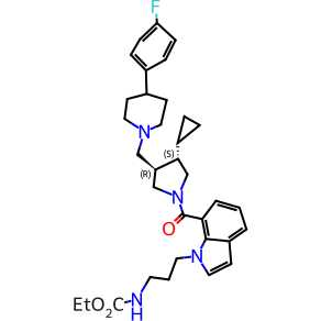 CCOC(=O)NCCCn1ccc2cccc(C(=O)N3C[C@@H](CN4CCC(c5ccc(F)cc5)CC4)[C@H](C4CC4)C3)c21